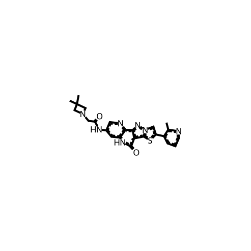 Cc1ncccc1-c1cn2nc3c4ncc(NC(=O)CN5CC(C)(C)C5)cc4[nH]c(=O)c3c2s1